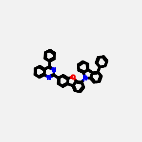 C1=CCC(c2cccc3c2c2ccccc2n3-c2cccc3c2oc2cc(-c4nc(-c5ccccc5)c5ccccc5n4)ccc23)C=C1